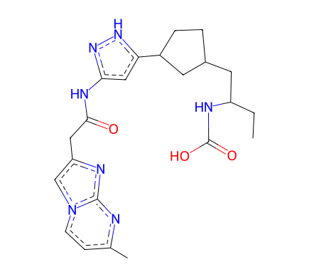 CCC(CC1CCC(c2cc(NC(=O)Cc3cn4ccc(C)nc4n3)n[nH]2)C1)NC(=O)O